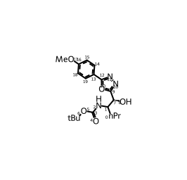 CCCC(NC(=O)OC(C)(C)C)[C@H](O)c1nnc(-c2ccc(OC)cc2)o1